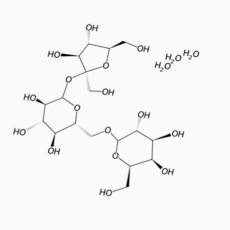 O.O.O.OC[C@H]1OC(OC[C@H]2OC(O[C@]3(CO)O[C@H](CO)[C@@H](O)[C@@H]3O)[C@H](O)[C@@H](O)[C@@H]2O)[C@H](O)[C@@H](O)[C@H]1O